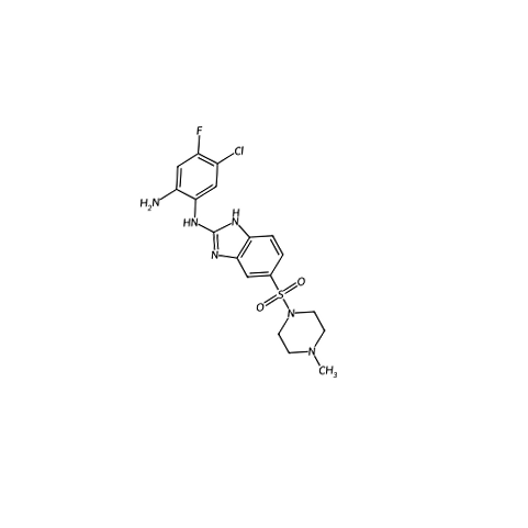 CN1CCN(S(=O)(=O)c2ccc3[nH]c(Nc4cc(Cl)c(F)cc4N)nc3c2)CC1